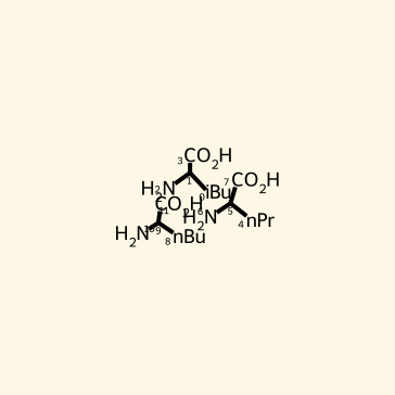 CCC(C)C(N)C(=O)O.CCCC(N)C(=O)O.CCCCC(N)C(=O)O